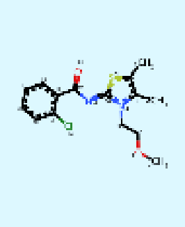 COCCn1c(C)c(C)sc1=NC(=O)c1ccccc1Cl